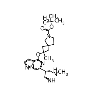 CN/C=C(\C=N)c1cn2nccc2c(OC2(C)CC3(CCN(C(=O)OC(C)(C)C)C3)C2)n1